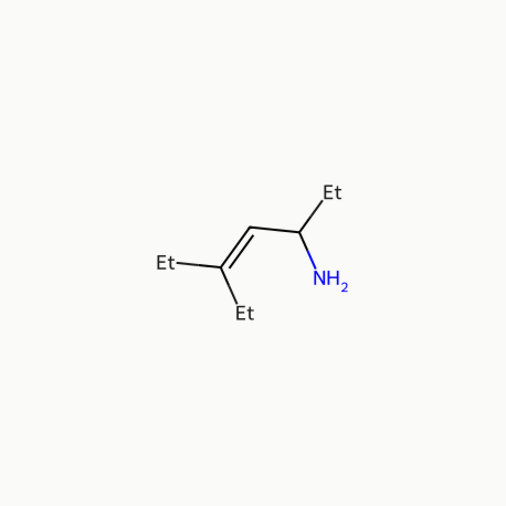 CCC(=CC(N)CC)CC